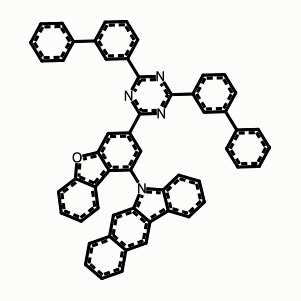 c1ccc(-c2cccc(-c3nc(-c4cccc(-c5ccccc5)c4)nc(-c4cc(-n5c6ccccc6c6cc7ccccc7cc65)c5c(c4)oc4ccccc45)n3)c2)cc1